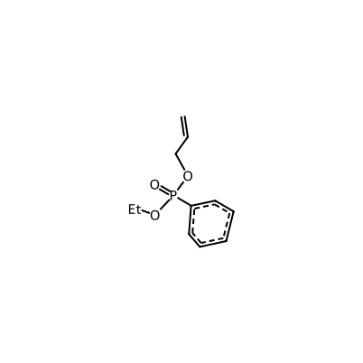 C=CCOP(=O)(OCC)c1ccccc1